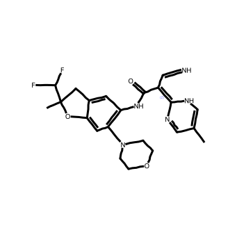 CC1=CN/C(=C(\C=N)C(=O)Nc2cc3c(cc2N2CCOCC2)OC(C)(C(F)F)C3)N=C1